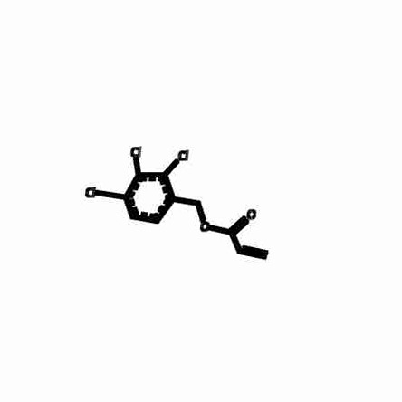 C=CC(=O)OCc1ccc(Cl)c(Cl)c1Cl